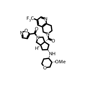 CO[C@@H]1COCC[C@@H]1N[C@@H]1C[C@H]2CN(C(=O)c3ccno3)C[C@@]2(C(=O)N2CCc3ncc(C(F)(F)F)cc3C2)C1